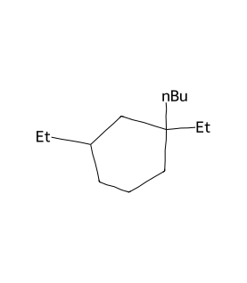 CCCCC1(CC)CCCC(CC)C1